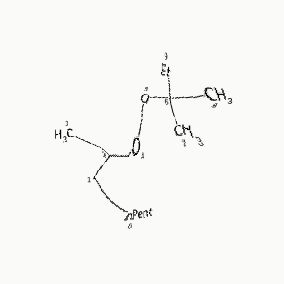 CCCCCCC(C)OOC(C)(C)CC